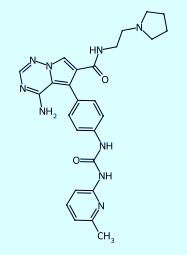 Cc1cccc(NC(=O)Nc2ccc(-c3c(C(=O)NCCN4CCCC4)cn4ncnc(N)c34)cc2)n1